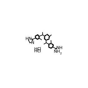 Cc1cc(C(C)c2ccc(C(=N)N)cc2C)cc(C(C)c2ccc(C3=NCCN3)cc2C)c1.Cl.Cl